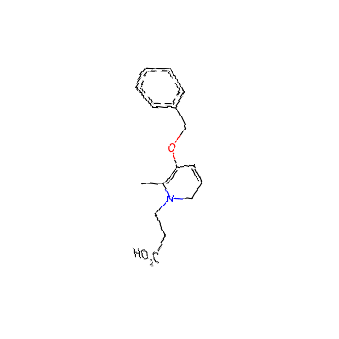 CC1=C(OCc2ccccc2)C=CCN1CCC(=O)O